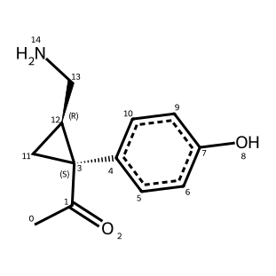 CC(=O)[C@@]1(c2ccc(O)cc2)C[C@H]1CN